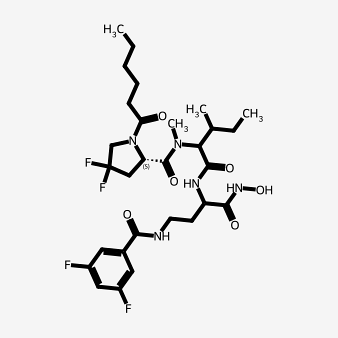 CCCCCC(=O)N1CC(F)(F)C[C@H]1C(=O)N(C)C(C(=O)NC(CCNC(=O)c1cc(F)cc(F)c1)C(=O)NO)C(C)CC